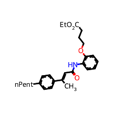 CCCCCc1ccc(C(C)=CC(=O)Nc2ccccc2OCCCC(=O)OCC)cc1